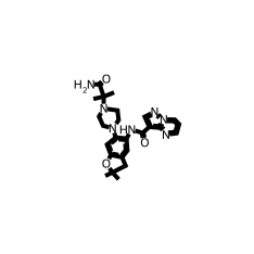 CC1(C)Cc2cc(NC(=O)c3cnn4cccnc34)c(N3CCN(C(C)(C)C(N)=O)CC3)cc2O1